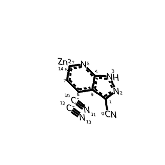 N#Cc1n[nH]c2ncccc12.[C-]#N.[C-]#N.[Zn+2]